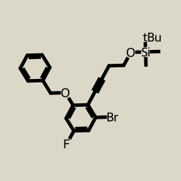 CC(C)(C)[Si](C)(C)OCCC#Cc1c(Br)cc(F)cc1OCc1ccccc1